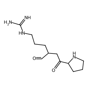 N=C(N)NCCCC(C=O)CC(=O)C1CCCN1